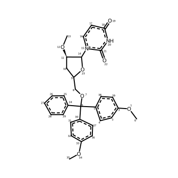 COc1ccc(C(OCC2C[C@@H](OC)C(n3ccc(=O)[nH]c3=O)O2)(c2ccccc2)c2ccc(OC)cc2)cc1